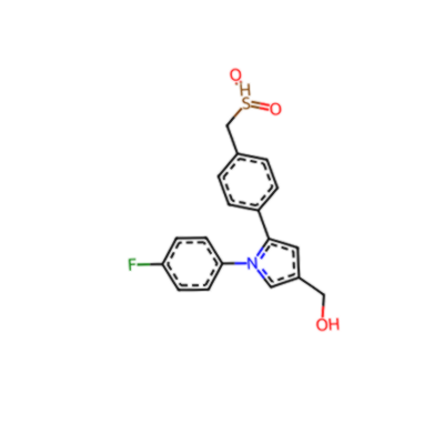 O=[SH](=O)Cc1ccc(-c2cc(CO)cn2-c2ccc(F)cc2)cc1